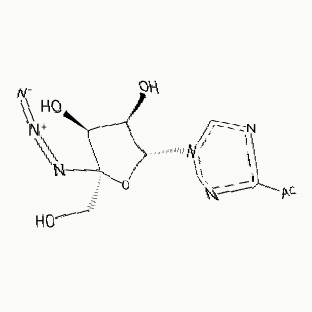 CC(=O)c1ncn([C@@H]2O[C@@](CO)(N=[N+]=[N-])[C@@H](O)[C@H]2O)n1